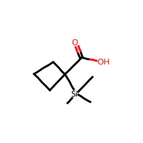 C[Si](C)(C)C1(C(=O)O)CCC1